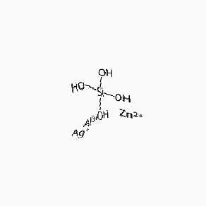 O[Si](O)(O)O.[Ag+].[Al+3].[Zn+2]